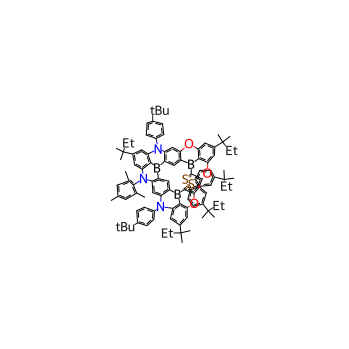 CCC(C)(C)c1cc2c3c(c1)Oc1c(sc4ccc(C(C)(C)CC)cc14)B3c1cc3c(cc1O2)N(c1ccc(C(C)(C)C)cc1)c1cc(C(C)(C)CC)cc2c1B3c1cc3c(cc1N2c1c(C)cc(C)cc1C)N(c1ccc(C(C)(C)C)cc1)c1cc(C(C)(C)CC)cc2c1B3c1sc3ccc(C(C)(C)CC)cc3c1O2